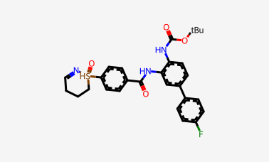 CC(C)(C)OC(=O)Nc1ccc(-c2ccc(F)cc2)cc1NC(=O)c1ccc([SH]2(=O)CCCC=N2)cc1